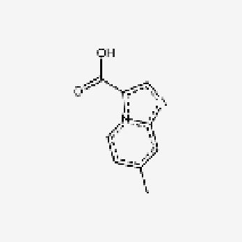 Cc1ccn2c(C(=O)O)cnc2c1